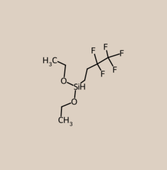 CCO[SiH](CCC(F)(F)C(F)(F)F)OCC